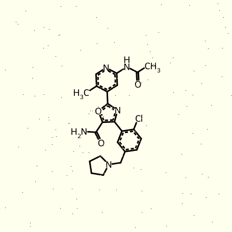 CC(=O)Nc1cc(-c2nc(-c3cc(CN4CCCC4)ccc3Cl)c(C(N)=O)o2)c(C)cn1